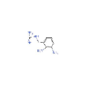 N=C(N)NCc1cccc(N)c1N